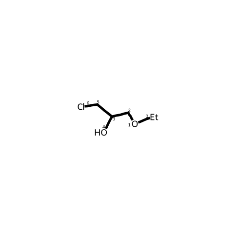 [CH2]COCC(O)CCl